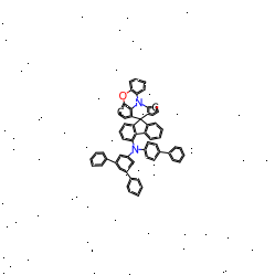 c1ccc(-c2ccc(N(c3cc(-c4ccccc4)cc(-c4ccccc4)c3)c3cccc4c3-c3ccccc3C43c4ccccc4N4c5ccccc5Oc5cccc3c54)cc2)cc1